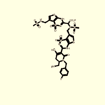 CC(C)CC1CC(O)=C(C2=NS(=O)(=O)c3c(CN(C(C(=O)O)C4=NS(=O)(=O)c5c(CNS(C)(=O)=O)csc5N4)S(C)(=O)=O)csc3N2)C(=O)N1Cc1ccc(F)cc1